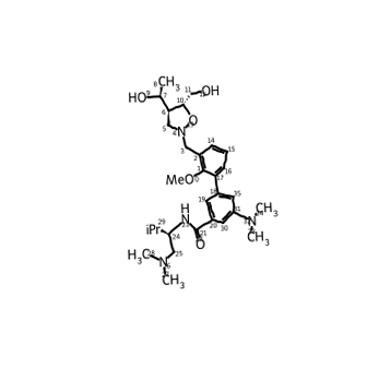 COc1c(CN2C[C@@H]([C@H](C)O)[C@H](CO)O2)cccc1-c1cc(C(=O)N[C@@H](CN(C)C)C(C)C)cc(N(C)C)c1